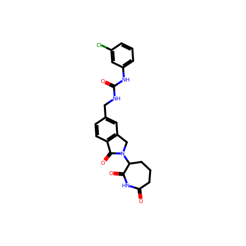 O=C1CCCC(N2Cc3cc(CNC(=O)Nc4cccc(Cl)c4)ccc3C2=O)C(=O)N1